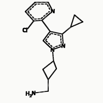 NCC1CC(n2cc(-c3ncccc3Cl)c(C3CC3)n2)C1